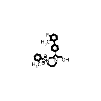 Cc1ccccc1S(=O)(=O)N1CCCCN2C(CO)[C@@H](c3ccc(-c4cccc(F)c4C)cc3)C2C1